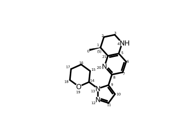 C[C@H]1CCNc2ccc(-c3ccnn3C3CCCCO3)nc21